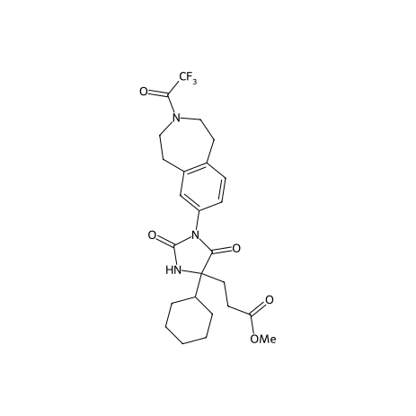 COC(=O)CCC1(C2CCCCC2)NC(=O)N(c2ccc3c(c2)CCN(C(=O)C(F)(F)F)CC3)C1=O